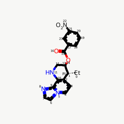 CC[C@@H]1c2ccn3ccnc3c2NCC1OC(=O)c1cccc([N+](=O)[O-])c1